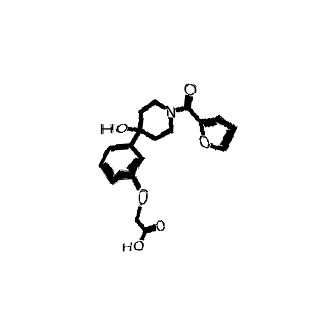 O=C(O)COc1cccc(C2(O)CCN(C(=O)c3ccco3)CC2)c1